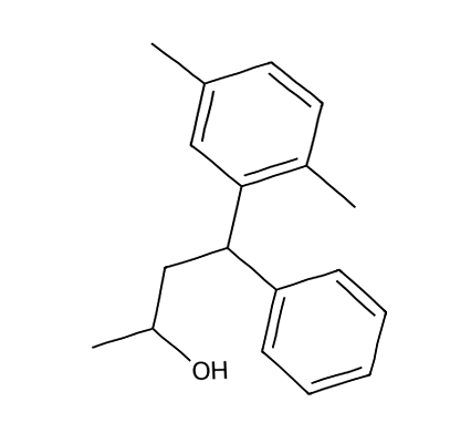 Cc1ccc(C)c(C(CC(C)O)c2ccccc2)c1